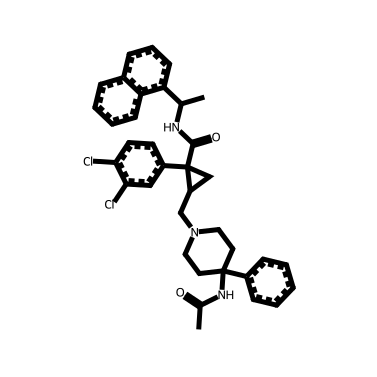 CC(=O)NC1(c2ccccc2)CCN(CC2CC2(C(=O)NC(C)c2cccc3ccccc23)c2ccc(Cl)c(Cl)c2)CC1